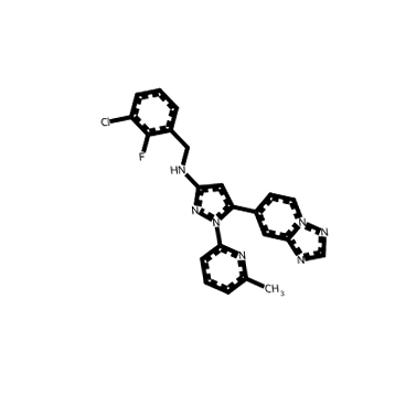 Cc1cccc(-n2nc(NCc3cccc(Cl)c3F)cc2-c2ccn3ncnc3c2)n1